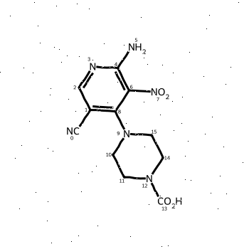 N#Cc1cnc(N)c([N+](=O)[O-])c1N1CCN(C(=O)O)CC1